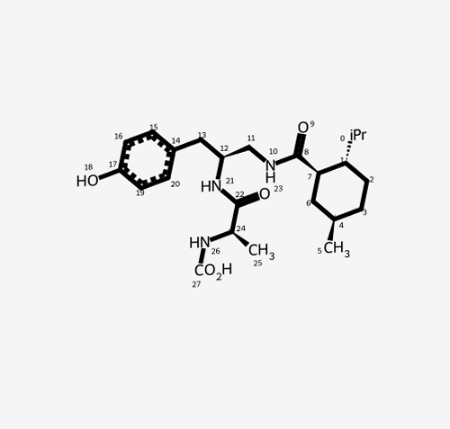 CC(C)[C@@H]1CC[C@@H](C)C[C@H]1C(=O)NC[C@H](Cc1ccc(O)cc1)NC(=O)[C@@H](C)NC(=O)O